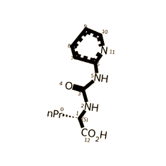 CCC[C@H](NC(=O)Nc1ccccn1)C(=O)O